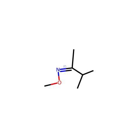 CO/N=C(/C)C(C)C